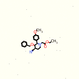 CCOC(=O)CN1CCC(C#N)C(OCc2ccccc2)C1c1ccc(OC)cc1